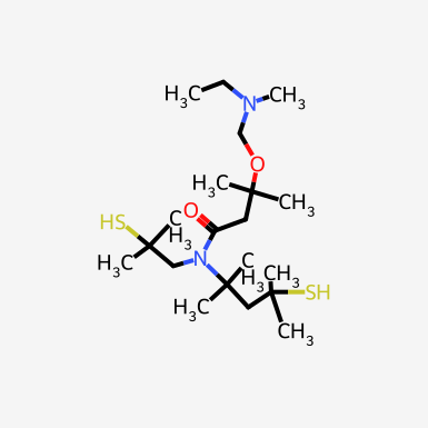 CCN(C)COC(C)(C)CC(=O)N(CC(C)(C)S)C(C)(C)CC(C)(C)S